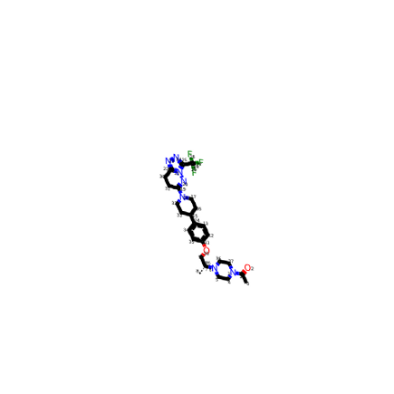 CC(=O)N1CCN([C@H](C)COc2ccc(C3CCN(C4=Nn5c(nnc5C(F)(F)F)CC4)CC3)cc2)CC1